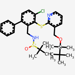 CC(C)(C)[S+]([O-])NCc1c(-c2ccccc2)ccc(Cl)c1Sc1ncccc1CO[Si](C)(C)C(C)(C)C